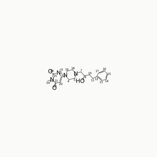 Cn1c(N2CCN(CC(O)CCc3ccccc3)CC2)cc(=O)n(C)c1=O